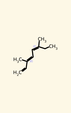 C=C/C(C)=C/C=C(/C)CC